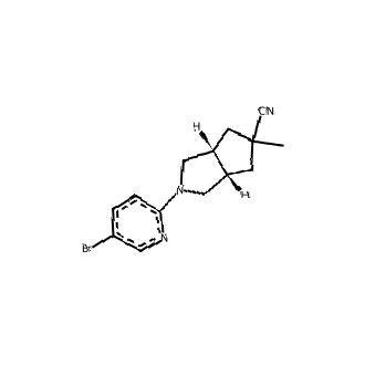 CC1(C#N)C[C@H]2CN(c3ccc(Br)cn3)C[C@H]2C1